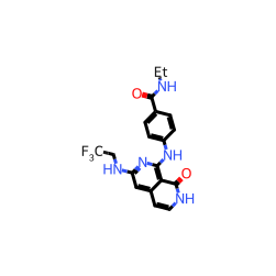 CCNC(=O)c1ccc(Nc2nc(NCC(F)(F)F)cc3cc[nH]c(=O)c23)cc1